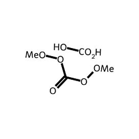 COOC(=O)OOC.O=C(O)O